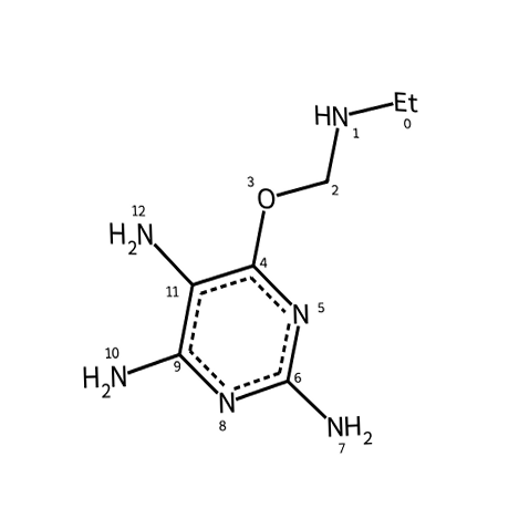 CCNCOc1nc(N)nc(N)c1N